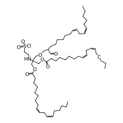 CCCCC/C=C\C/C=C\CCCCCCCC(=O)OCC(COCC(C=O)CCCCCC/C=C\C/C=C\CCCCC)(COC(=O)CCCCCCC/C=C\C/C=C\CCCCC)NCCS(=O)(=O)Cl